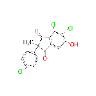 CC1(c2ccc(Cl)cc2)C(=O)c2cc(O)c(Cl)c(Cl)c2C1=O